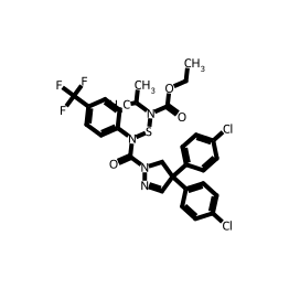 CCOC(=O)N(SN(C(=O)N1CC(c2ccc(Cl)cc2)(c2ccc(Cl)cc2)C=N1)c1ccc(C(F)(F)F)cc1)C(C)C